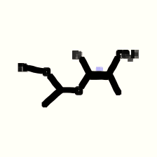 CCOC(C)O/C(CC)=C(\C)C(=O)O